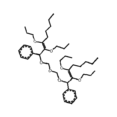 CCCCCC(OCCC)=C(OCCC)C(OCOCOC(C(OCCC)=C(CCCCC)OCCC)c1ccccc1)c1ccccc1